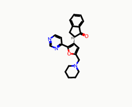 O=C1c2ccccc2C[C@H]1c1cc(CN2CCCCC2)oc1-c1ccncn1